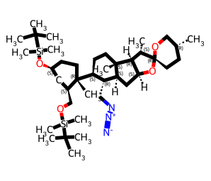 C[C@@H]1CC[C@@]2(OC1)O[C@H]1C[C@H]3[C@H](CN=[N+]=[N-])[C@@H]([C@@]4(C)CC[C@H](O[Si](C)(C)C(C)(C)C)C[C@@H]4CO[Si](C)(C)C(C)(C)C)CC[C@]3(C)[C@H]1[C@@H]2C